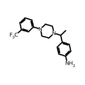 CC(c1ccc(N)cc1)N1CCN(c2cccc(C(F)(F)F)c2)CC1